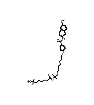 COc1ccc2cc(OC(=O)c3ccc(OCCCCCCCCC(C)(C)OC(=O)CCCCCC(C)(C)O)cc3)ccc2c1